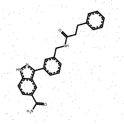 NC(=O)c1ccc2[nH]nc(-c3cccc(CNC(=O)CCc4ccccc4)c3)c2c1